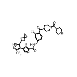 O=C(NCc1ccc(C(=O)N2CCN(C(=O)C3CCNCC3)CC2)c(Cl)c1)c1ncc(-c2c(C(F)(F)F)n[nH]c2C2CC3(CC3)C2)[nH]1